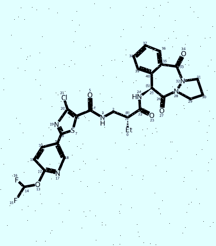 CC[C@H](CNC(=O)c1sc(-c2ccc(OC(F)F)nc2)nc1Cl)C(=O)N[C@@H]1C(=O)N2CCCN2C(=O)c2ccccc21